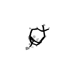 CC1(C)/C=C2\CCC(CC1)C(Br)C2